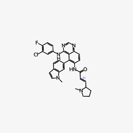 CN1CCCC1/C=C/C(=O)Nc1ccc2ncnc(Nc3ccc(F)c(Cl)c3)c2c1-c1ccc2ccn(C)c2c1